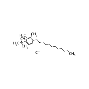 CCCCCCCCCCCCc1ccc([N+](C)(C)C)c(C)c1C.[Cl-]